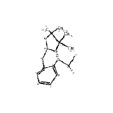 CC1(C)OB(Cc2ccccc2OC(F)F)OC1(C)C